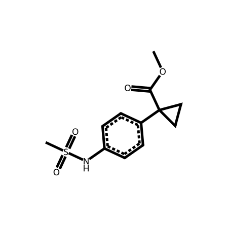 COC(=O)C1(c2ccc(NS(C)(=O)=O)cc2)CC1